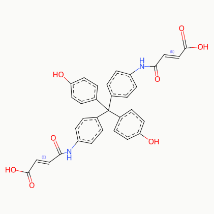 O=C(O)/C=C/C(=O)Nc1ccc(C(c2ccc(O)cc2)(c2ccc(O)cc2)c2ccc(NC(=O)/C=C/C(=O)O)cc2)cc1